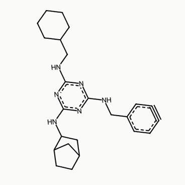 c1ccc(CNc2nc(NCC3CCCCC3)nc(NC3CC4CCC3C4)n2)cc#1